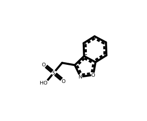 O=S(=O)(O)Cc1noc2ccccc12